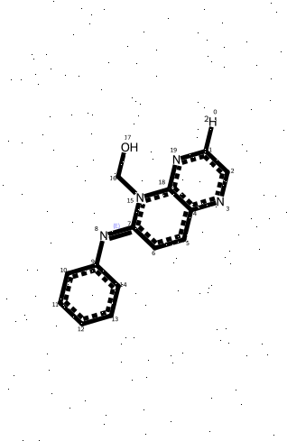 [2H]c1cnc2cc/c(=N\c3ccccc3)n(CO)c2n1